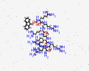 N=C(N)CCCC[C@H](NC[C@H](CCCNC(=N)N)NC(=O)[C@H](CCCCC(=N)N)NC(=O)OCC1c2ccccc2-c2ccccc21)C(=O)N[C@@H](CCCNC(=N)N)C(=O)N[C@@H](CCCCC(=N)N)C(=O)N[C@@H](CCCNC(=N)N)C(=O)N[C@@H](CCCNC(=N)N)C(N)=O